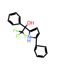 OC(c1ccccc1)(c1ccc(-c2ccccc2)[nH]1)C(F)(F)F